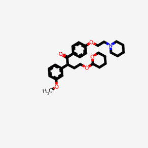 COc1cccc(C(CCOC2CCCCO2)C(=O)c2ccc(OCCN3CCCCC3)cc2)c1